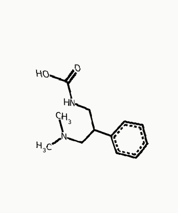 CN(C)CC(CNC(=O)O)c1ccccc1